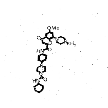 COc1cc(N2CCN(C)CC2)c2oc(C(=O)Nc3ccc(N4CCN(C(=O)NC5CCCCC5)CC4)cc3)cc(=O)c2c1